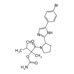 CC(C)C(C)(OC(N)=O)C(=O)N1CCCC1c1ncc(-c2ccc(Br)cc2)[nH]1